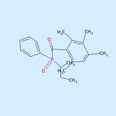 CCC(C)P(=O)(C(=O)c1c(C)cc(C)c(C)c1C)c1ccccc1